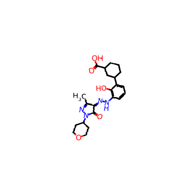 CC1=NN(C2CCOCC2)C(=O)C1=NNc1cccc(C2CCCC(C(=O)O)C2)c1O